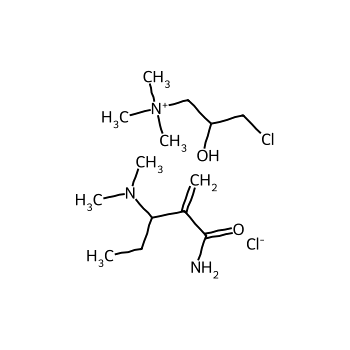 C=C(C(N)=O)C(CC)N(C)C.C[N+](C)(C)CC(O)CCl.[Cl-]